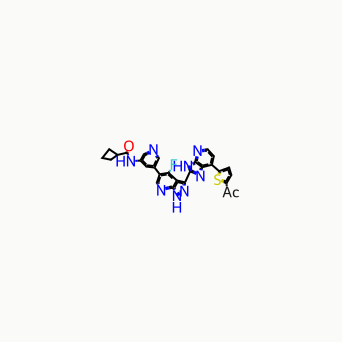 CC(=O)c1ccc(-c2ccnc3[nH]c(-c4n[nH]c5ncc(-c6cncc(NC(=O)C7CCC7)c6)c(F)c45)nc23)s1